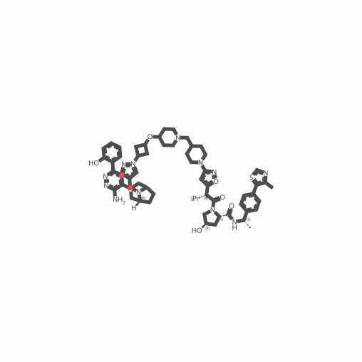 Cc1ncsc1-c1ccc([C@H](C)NC(=O)[C@@H]2C[C@@H](O)CN2C(=O)[C@@H](c2cc(N3CCC(CN4CCC(OC5CC(n6cc(CN7C8CC[C@@H]7CN(c7cc(-c9ccccc9O)nnc7N)C8)cn6)C5)CC4)CC3)no2)C(C)C)cc1